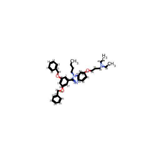 CCCCn1c(-c2cc(OCc3ccccc3)cc(OCc3ccccc3)c2)nc2ccc(OCCCN(CC)CC)cc21